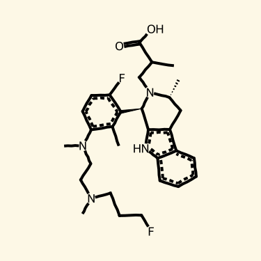 Cc1c(N(C)CCN(C)CCCF)ccc(F)c1[C@@H]1c2[nH]c3ccccc3c2C[C@@H](C)N1CC(C)C(=O)O